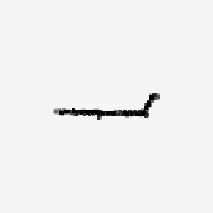 O=C(CSCSCSCCOOCSCSCSCOC(=O)CSCSCSCCOOCSCCSCO)OCSCCSCO